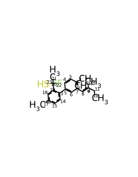 C=C(C)/C=C\C(=C/C/C=C(\C)CC)c1ccc(C)cc1C(C)(F)S